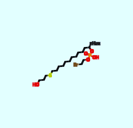 CCCCCCC(CCCCCCCCCCCSCCCO)OP(=O)(O)OCCBr